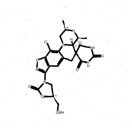 COC[C@@H]1CN(c2noc3c(Cl)c4c(cc23)CC2(C(=O)NC(=O)NC2=O)[C@H]2[C@H](C)O[C@H](C)CN42)C(=O)O1